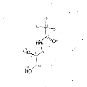 CC(C)(C)C(=O)NC[C@H](O)CO